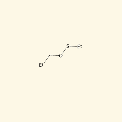 [CH2]CCOSCC